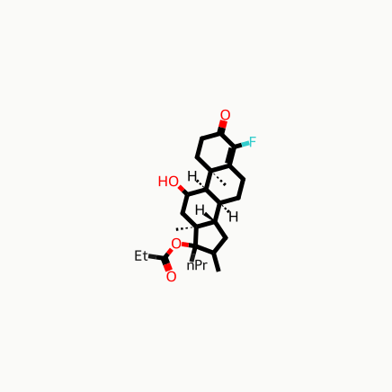 CCCC1(OC(=O)CC)C(C)C[C@H]2[C@@H]3CCC4=C(F)C(=O)CC[C@]4(C)[C@@H]3C(O)C[C@@]21C